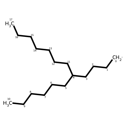 [CH2]CCCC(CCCCCC)CCCCCCC